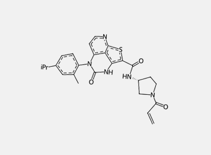 C=CC(=O)N1CC[C@@H](NC(=O)c2sc3nccc4c3c2NC(=O)N4c2ccc(C(C)C)cc2C)C1